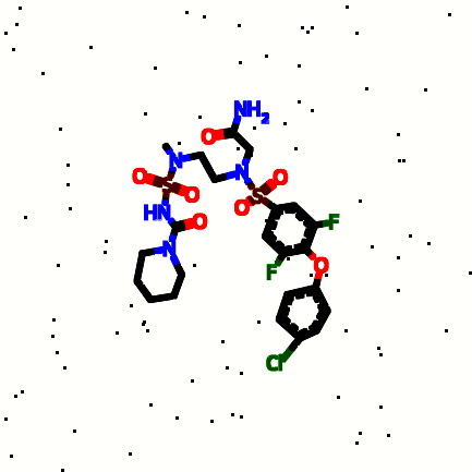 CN(CCN(CC(N)=O)S(=O)(=O)c1cc(F)c(Oc2ccc(Cl)cc2)c(F)c1)S(=O)(=O)NC(=O)N1CCCCC1